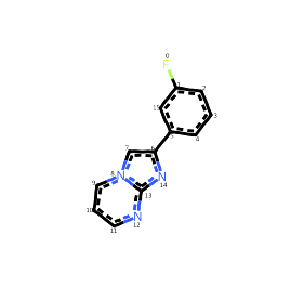 Fc1cccc(-c2cn3cccnc3n2)c1